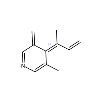 C=C/C(C)=c1\c(C)cncc1=C